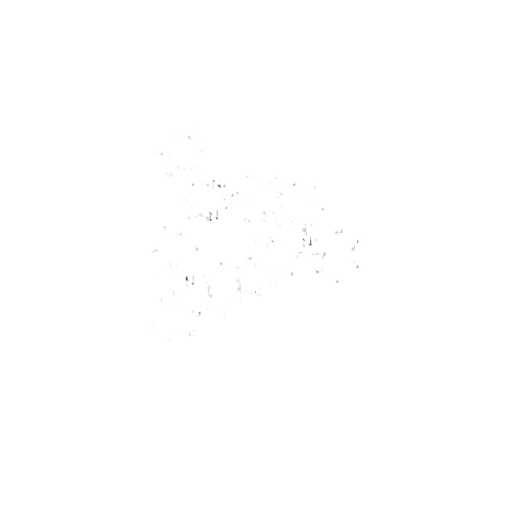 c1ccc(-c2cc(-c3cccc(-n4c5ccccc5c5cc6sc7cc8c(cc7c6cc54)c4ccccc4n8-c4ccccc4)c3)nc(-c3ccccc3)n2)cc1